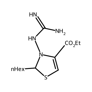 CCCCCCC1SC=C(C(=O)OCC)N1NC(=N)N